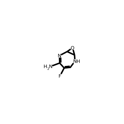 NC1=NC2OC2NC=C1F